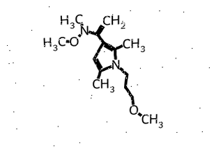 C=C(c1cc(C)n(CCCOC)c1C)N(C)OC